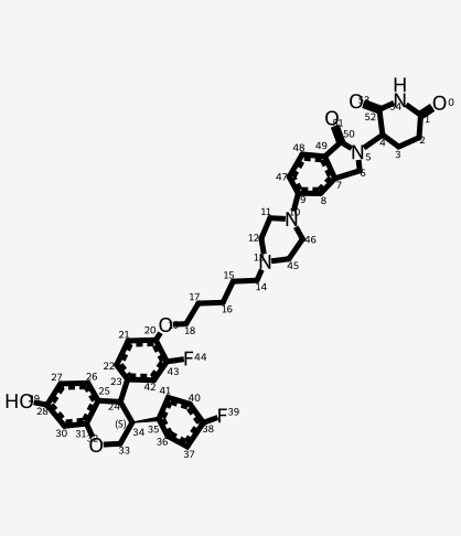 O=C1CCC(N2Cc3cc(N4CCN(CCCCCOc5ccc(C6c7ccc(O)cc7OC[C@@H]6c6ccc(F)cc6)cc5F)CC4)ccc3C2=O)C(=O)N1